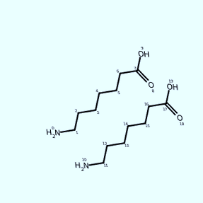 NCCCCCCC(=O)O.NCCCCCCC(=O)O